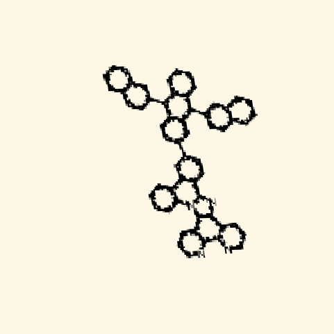 c1ccc2cc(-c3c4ccccc4c(-c4ccc5ccccc5c4)c4cc(-c5ccc6c(c5)c5ccccc5n5c6nc6c7cccnc7c7ncccc7c65)ccc34)ccc2c1